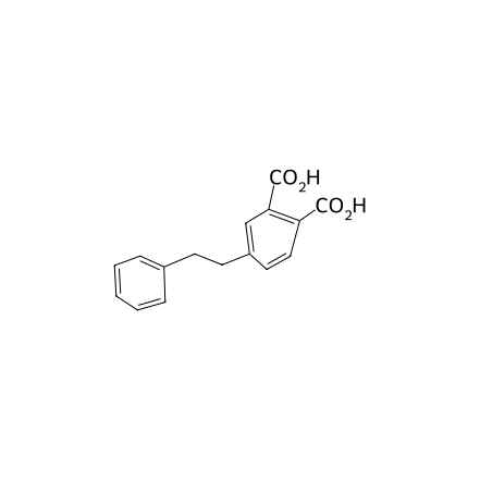 O=C(O)c1ccc(CCc2ccccc2)cc1C(=O)O